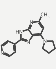 Cc1cc(N2CCCC2)c2nc(-c3ccncc3)[nH]c2n1